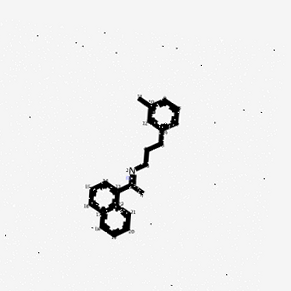 C/C(=N\CCCc1cccc(C)c1)c1cccc2ccccc12